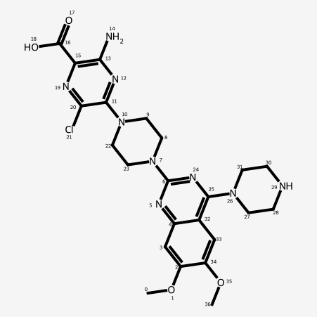 COc1cc2nc(N3CCN(c4nc(N)c(C(=O)O)nc4Cl)CC3)nc(N3CCNCC3)c2cc1OC